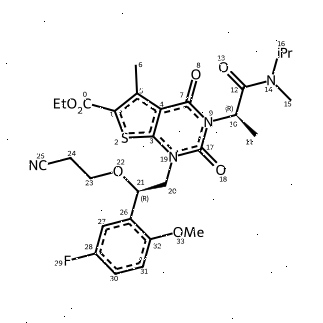 CCOC(=O)c1sc2c(c1C)c(=O)n([C@H](C)C(=O)N(C)C(C)C)c(=O)n2C[C@H](OCCC#N)c1cc(F)ccc1OC